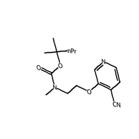 CCCC(C)(C)OC(=O)N(C)CCOc1cnccc1C#N